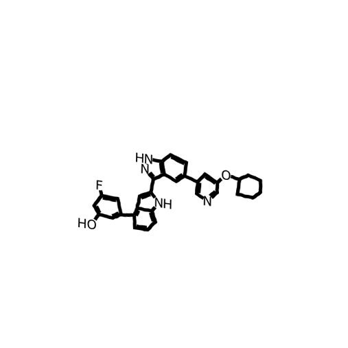 Oc1cc(F)cc(-c2cccc3[nH]c(-c4n[nH]c5ccc(-c6cncc(OC7CCCCC7)c6)cc45)cc23)c1